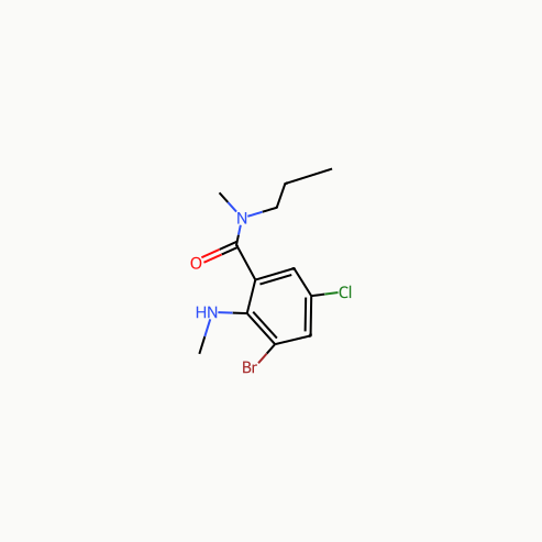 CCCN(C)C(=O)c1cc(Cl)cc(Br)c1NC